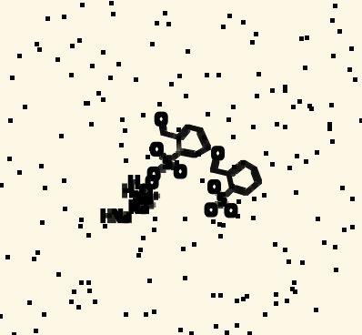 O.O.O=Cc1ccccc1S(=O)(=O)[O-].O=Cc1ccccc1S(=O)(=O)[O-].[Na+].[Na+].[NaH]